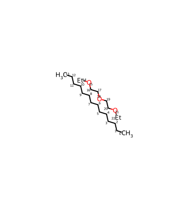 CCCCCCCCCCCCCC.CCOCCOCCOCC